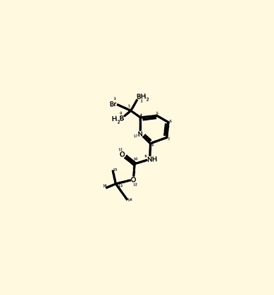 BC(B)(Br)c1cccc(NC(=O)OC(C)(C)C)n1